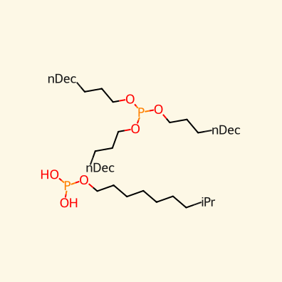 CC(C)CCCCCCCOP(O)O.CCCCCCCCCCCCCOP(OCCCCCCCCCCCCC)OCCCCCCCCCCCCC